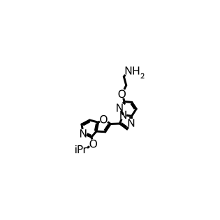 CC(C)Oc1nccc2oc(-c3cnc4ccc(OCCN)nn34)cc12